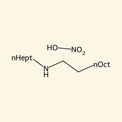 CCCCCCCCCCNCCCCCCC.O=[N+]([O-])O